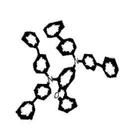 c1ccc(-c2ccc(N(c3ccc(-c4ccccc4)cc3)c3cc(N(c4ccc(-c5ccccc5)cc4)c4ccc(-c5ccccc5)cc4)c4oc5ccccc5c4c3)cc2)cc1